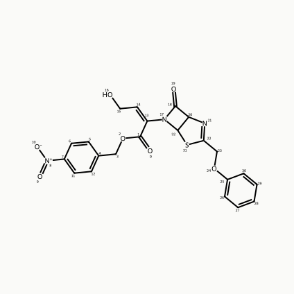 O=C(OCc1ccc([N+](=O)[O-])cc1)C(=CCO)N1C(=O)C2N=C(COc3ccccc3)SC21